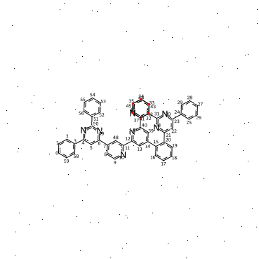 c1ccc(-c2cc(-c3ccnc(-c4cc(-c5ccccc5-c5cc(-c6ccccc6)nc(-c6ccccc6)n5)cc(-c5ccccn5)n4)c3)nc(-c3ccccc3)n2)cc1